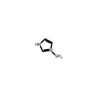 [SiH3][n+]1cc[nH]c1